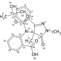 CN1N=C(c2ccccc2)C(C)(N(C(=O)OC(C)(C)C)c2ccccc2C(=O)O)C1=O